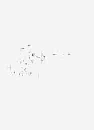 C#CCOc1ccc(CC(NC(=O)C(Cc2ccc3ccccc3c2)NC(=O)[C@@H]2C[C@H](CC=C)CN2C(=O)C(NC(=O)C(C)N(C)C(=O)OC(C)(C)C)C(C)(C)C)C(=O)O)cc1